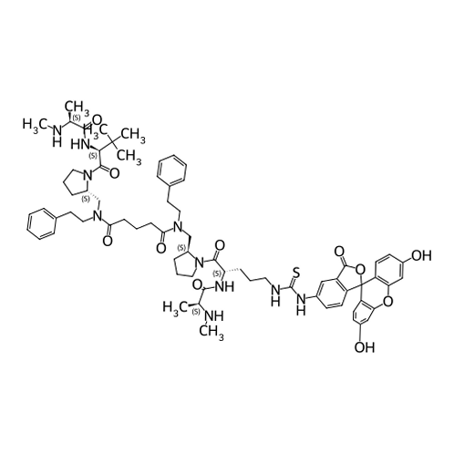 CN[C@@H](C)C(=O)N[C@@H](CCCNC(=S)Nc1ccc2c(c1)C(=O)OC21c2ccc(O)cc2Oc2cc(O)ccc21)C(=O)N1CCC[C@H]1CN(CCc1ccccc1)C(=O)CCCC(=O)N(CCc1ccccc1)C[C@@H]1CCCN1C(=O)[C@@H](NC(=O)[C@H](C)NC)C(C)(C)C